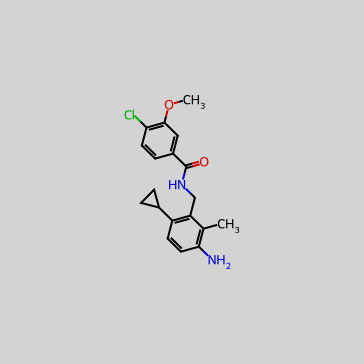 COc1cc(C(=O)NCc2c(C3CC3)ccc(N)c2C)ccc1Cl